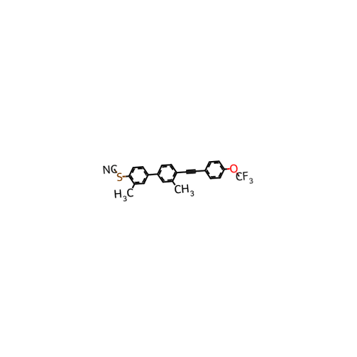 Cc1cc(-c2ccc(SC#N)c(C)c2)ccc1C#Cc1ccc(OC(F)(F)F)cc1